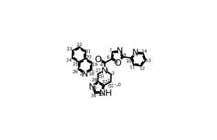 C[C@H]1CN(C(=O)c2cnc(-c3ccccn3)o2)[C@@H](c2cc3ccccc3cn2)c2nc[nH]c21